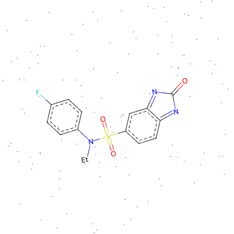 CCN(c1ccc(F)cc1)S(=O)(=O)c1ccc2c(c1)=NC(=O)N=2